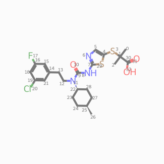 CC(C)(Sc1cnc(NC(=O)N(CCc2cc(F)cc(Cl)c2)[C@H]2CC[C@H](C)CC2)s1)C(=O)O